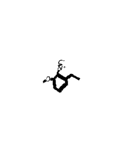 [C-]#[N+]c1c(CC)cccc1OC